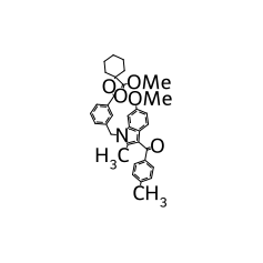 COC(=O)C1(OCc2cccc(Cn3c(C)c(C(=O)c4ccc(C)cc4)c4ccc(OC)cc43)c2)CCCCC1